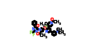 CC(=O)[C@@H]1C[C@H](Oc2ncc(-c3cccc(N(C)C)c3)cc2[C@@]2(F)CCN(C(C)=O)C[C@@H]2C)CN1c1nc(C(F)F)nc2c1oc1ccccc12